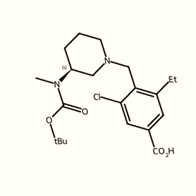 CCc1cc(C(=O)O)cc(Cl)c1CN1CCC[C@H](N(C)C(=O)OC(C)(C)C)C1